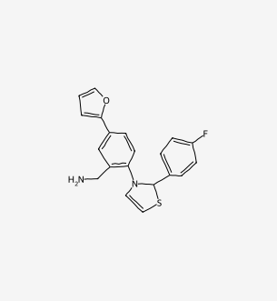 NCc1cc(-c2ccco2)ccc1N1C=CSC1c1ccc(F)cc1